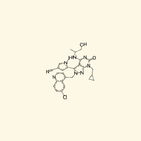 CC(CO)Nc1nc(=O)n(CC2CC2)c2nn(Cc3ccnc4ccc(Cl)cc34)c(-c3cc(C#N)cn3C)c12